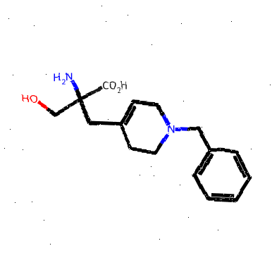 NC(CO)(CC1=CCN(Cc2ccccc2)CC1)C(=O)O